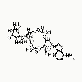 C#C[C@@]12COP(=O)(S)O[C@@H]3[C@@H](F)[C@@H](COP(=O)(S)O[C@H]1C[C@H](n1cnc4c(N)ccnc41)O2)O[C@H]3n1nnc2c(=O)[nH]c(N)nc21